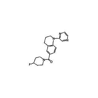 O=C(c1ccc2c(c1)CCCN2c1cnccn1)N1CCC(F)CC1